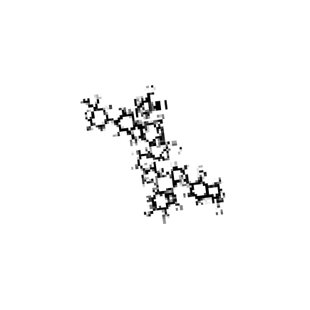 Cc1cc(-n2nc3c(c2N2C=CN(c4ccc5c(cnn5C)c4F)C2=C=O)C(OC(F)(F)F)N(C(=O)c2cc4cc([C@H]5CCOC(C)(C)C5)ccc4n2[C@@]2(c4noc(=O)[nH]4)C[C@@H]2C)CC3)cc(C)c1F